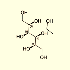 CCO.OC[C@@H](O)[C@H](O)[C@@H](O)[C@H](O)CO